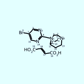 Brc1cnc(N2CCN3CCC2CC3)nc1.O=C(O)/C=C/C(=O)O